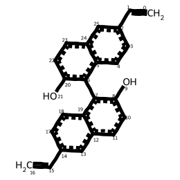 C=Cc1ccc2c(-c3c(O)ccc4cc(C=C)ccc34)c(O)ccc2c1